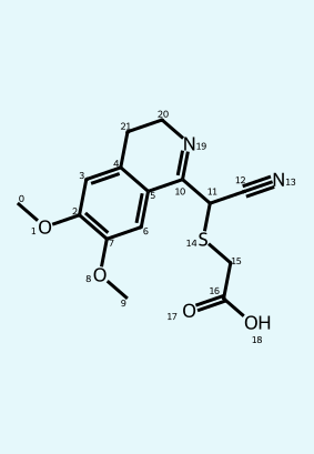 COc1cc2c(cc1OC)C(C(C#N)SCC(=O)O)=NCC2